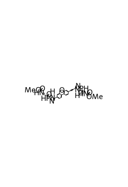 COC(=O)NCCC(=O)Pc1ncc(-c2ccc3c(c2)COc2cc(C#Cc4cnc(PC(=O)CNC(=O)OC)[nH]4)ccc2-3)[nH]1